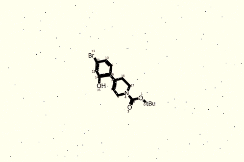 CC(C)(C)OC(=O)N1CC=C(c2ccc(Br)cc2O)CC1